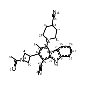 CC(=O)N1CC(c2c(C)c(N3CCC(C#N)CC3)n3c(nc4ccccc43)c2C#N)C1